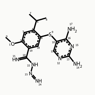 COc1cc(C(C)C)c(Sc2cnc(N)nc2N)cc1C(=N)NN=N